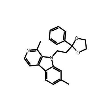 Cc1ccc2c3ccnc(C)c3n(CCC3(c4ccccc4)OCCO3)c2c1